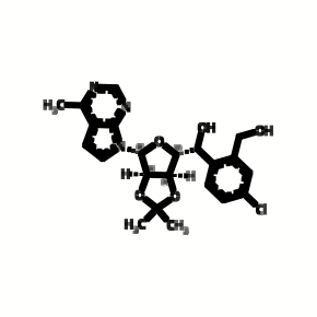 Cc1ncnc2c1ccn2[C@@H]1O[C@H](C(O)c2ccc(Cl)cc2CO)[C@H]2OC(C)(C)O[C@H]21